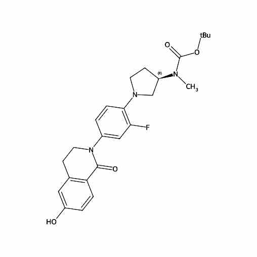 CN(C(=O)OC(C)(C)C)[C@@H]1CCN(c2ccc(N3CCc4cc(O)ccc4C3=O)cc2F)C1